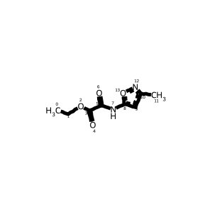 CCOC(=O)C(=O)Nc1cc(C)no1